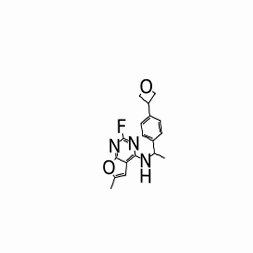 Cc1cc2c(NC(C)c3ccc(C4COC4)cc3)nc(F)nc2o1